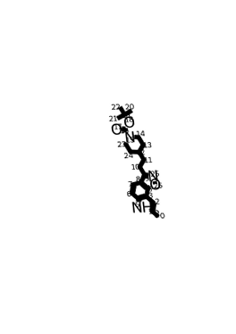 CC=Cc1c(N)ccc2c(CCC3CCN(C(=O)OC(C)(C)C)CC3)noc12